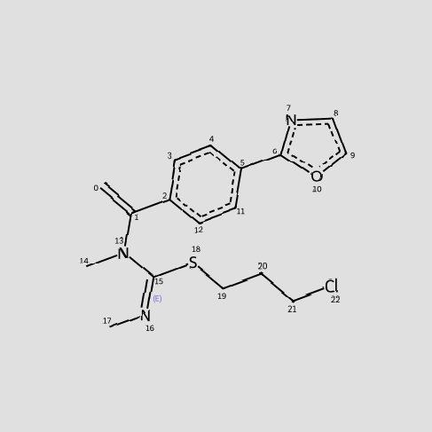 C=C(c1ccc(-c2ncco2)cc1)N(C)/C(=N\C)SCCCCl